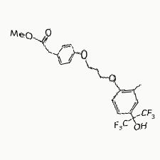 COC(=O)Cc1ccc(OCCCOc2ccc(C(O)(C(F)(F)F)C(F)(F)F)cc2C)cc1